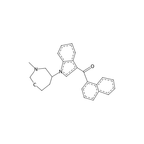 CN1CCCCC(n2cc(C(=O)c3cccc4ccccc34)c3ccccc32)C1